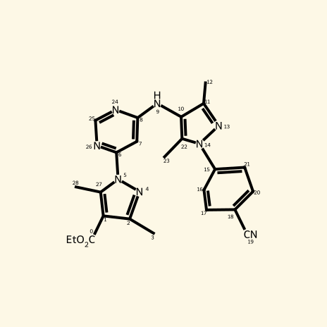 CCOC(=O)c1c(C)nn(-c2cc(Nc3c(C)nn(-c4ccc(C#N)cc4)c3C)ncn2)c1C